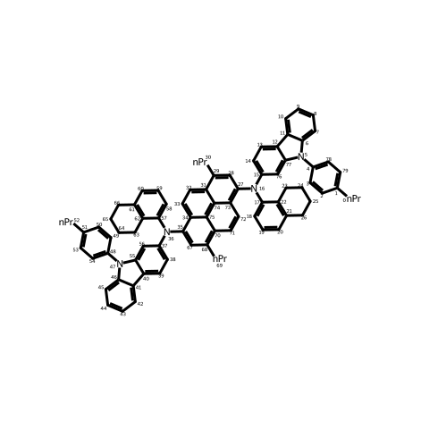 CCCc1ccc(-n2c3ccccc3c3ccc(N(c4cccc5c4CCCC5)c4cc(CCC)c5ccc6c(N(c7ccc8c9ccccc9n(-c9ccc(CCC)cc9)c8c7)c7cccc8c7CCCC8)cc(CCC)c7ccc4c5c76)cc32)cc1